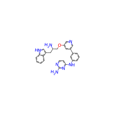 Nc1nccc(Nc2cccc(-c3cncc(OCC(N)Cc4c[nH]c5ccccc45)c3)c2)n1